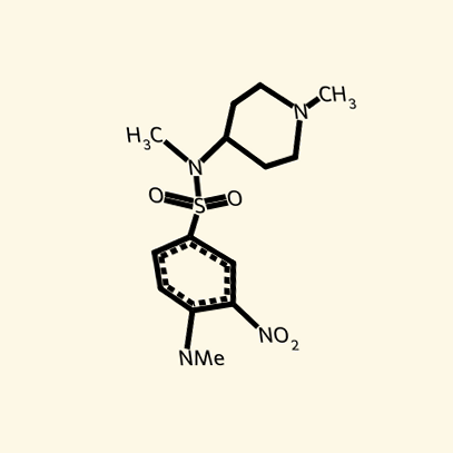 CNc1ccc(S(=O)(=O)N(C)C2CCN(C)CC2)cc1[N+](=O)[O-]